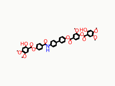 COc1cc(O)c(C(=O)Oc2ccc(C(=O)Nc3ccc(-c4ccc(OC(=O)c5ccc(OC(=O)c6cc(OC)c(OC)cc6O)c(OC)c5)cc4)cc3)cc2)cc1OC